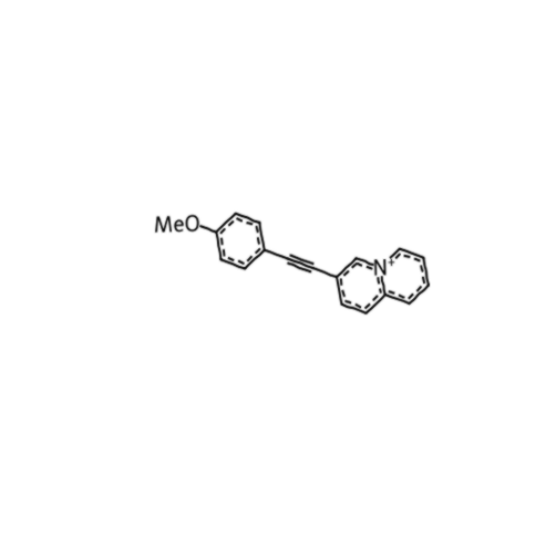 COc1ccc(C#Cc2ccc3cccc[n+]3c2)cc1